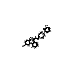 Cc1ccc(OC(CCN2CCN(c3ccccc3)CC2)c2ccccc2)cc1